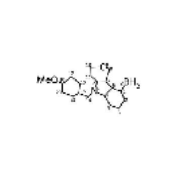 BC1CCCC2C1C1CCCCC1N2CC1CCC(OC)CC1